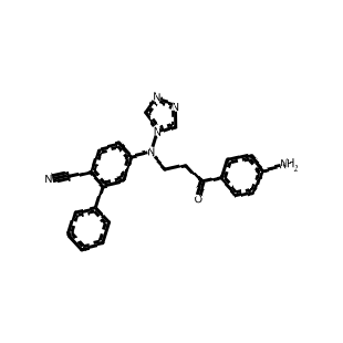 N#Cc1ccc(N(CCC(=O)c2ccc(N)cc2)n2cnnc2)cc1-c1ccccc1